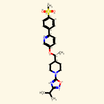 CC(C)c1noc(N2CCC([C@@H](C)Oc3ccc(-c4ccc(S(C)(=O)=O)cc4)nc3)CC2)n1